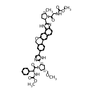 COC[C@H]1C[C@@H](c2ncc(-c3ccc4c(c3)COc3cc5c(ccc6nc(C7CC[C@H](C)N7C(=O)CNC(=O)OC)[nH]c65)cc3-4)[nH]2)N(C(=O)[C@H](NC(=O)OC)c2ccccc2)C1